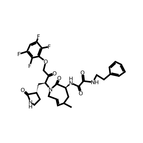 CC1/C=C/CN([C@@H](C[C@@H]2CCNC2=O)C(=O)COc2c(F)c(F)cc(F)c2F)C(=O)[C@@H](NC(=O)C(=O)NCCc2ccccc2)C1